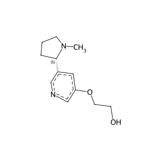 CN1CCC[C@H]1c1cncc(OCCO)c1